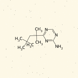 CC(C)(C)CC(C)(C)c1ncnc(N)n1